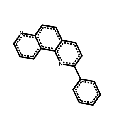 c1ccc(-c2ccc3ccc4ncccc4c3n2)cc1